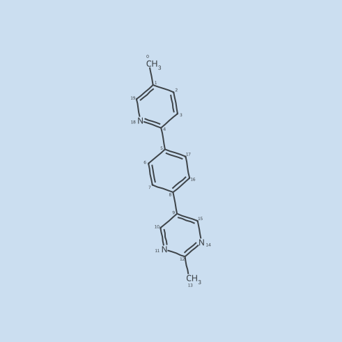 Cc1ccc(-c2ccc(-c3cnc(C)nc3)cc2)nc1